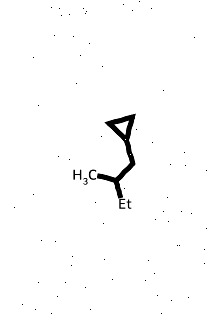 [CH2]CC(C)CC1CC1